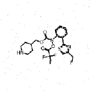 O=C(OCC1CCNCC1)N(OC(=O)C(F)(F)F)c1ccccc1-c1nc(CF)cs1